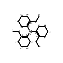 CCC1=[C]([Al]([C]2=C(CC)CCCC2)[C]2=C(CC)CCCC2)CCCC1